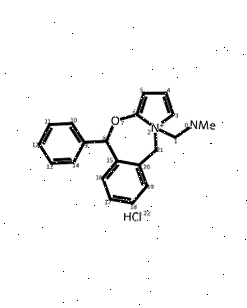 CNC[N+]12C=CC=C1OC(c1ccccc1)c1ccccc1C2.Cl